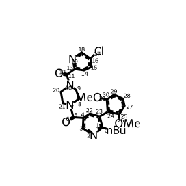 CCCCc1ncc(C(=O)N2CCN(C(=O)c3ccc(Cl)cn3)CC2)cc1-c1c(OC)cccc1OC